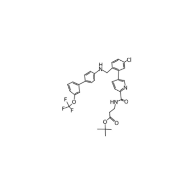 CC(C)(C)OC(=O)CCNC(=O)c1ccc(-c2cc(Cl)ccc2CNc2ccc(-c3cccc(OC(F)(F)F)c3)cc2)cn1